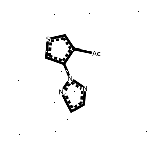 CC(=O)c1cscc1-n1nccn1